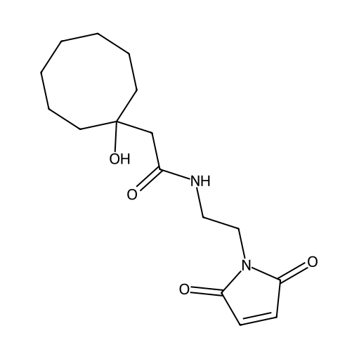 O=C(CC1(O)CCCCCCC1)NCCN1C(=O)C=CC1=O